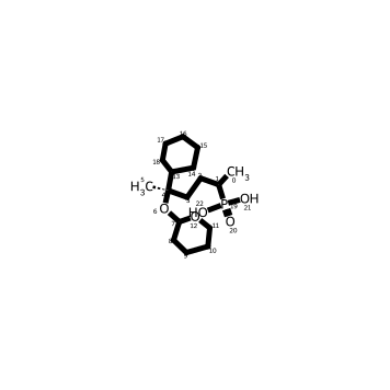 CC(CC[C@@](C)(OC1CCCCO1)C1CCCCC1)P(=O)(O)O